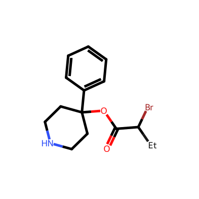 CCC(Br)C(=O)OC1(c2ccccc2)CCNCC1